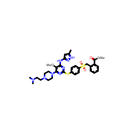 COC(=O)c1ccccc1CS(=O)(=O)c1ccc(Sc2nc(Nc3cc(C)[nH]n3)c(OC)c(N3CCN(CCN(C)C)CC3)n2)cc1